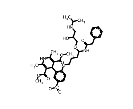 COC(=O)C1=C(C)NC(C)=C(C(=O)OC)C1c1cc([N+](=O)[O-])ccc1OCCCC(NC(=O)Cc1ccccc1)OCC(O)CNC(C)C